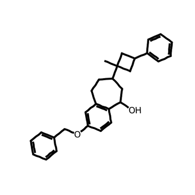 CC1(C2CCc3cc(OCc4ccccc4)ccc3C(O)C2)CC(c2ccccc2)C1